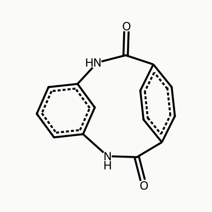 O=C1Nc2cccc(c2)NC(=O)c2ccc1cc2